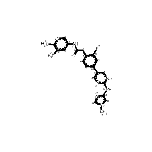 Cc1ncc(NC(=O)Cc2ccc(-c3cnc(Nc4cn(C)cn4)nc3)cc2F)cc1C(F)(F)F